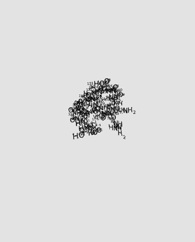 CC[C@H](C)[C@H](NC(=O)[C@H](CC(=O)O)NC(=O)[C@H](CCCNC(=N)N)NC(=O)CNC(=O)[C@H](C)NC(=O)[C@H](CO)NC(=O)[C@H](CC(=O)O)NC(=O)[C@@H](NC(=O)[C@H](C)NC(=O)[C@H](CCCCN)NC(=O)[C@H](C)NC(=O)[C@@H](NC(=O)[C@H](CCCNC(=N)N)NC(=O)[C@H](CCCCN)NC(=O)[C@H](CC(C)C)NC(=O)CNC(=O)[C@H](C)NC(=O)[C@H](CCC(=O)O)NC(=O)CNC(=O)[C@@H](N)CC(C)C)[C@@H](C)CC)C(C)C)C(=O)O